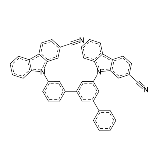 N#Cc1ccc2c3ccccc3n(-c3cccc(-c4cc(-c5ccccc5)cc(-n5c6ccccc6c6ccc(C#N)cc65)c4)c3)c2c1